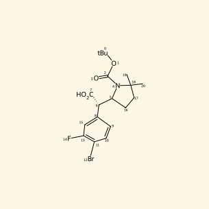 CC(C)(C)OC(=O)N1C([C@@H](C(=O)O)c2ccc(Br)c(F)c2)CCC1(C)C